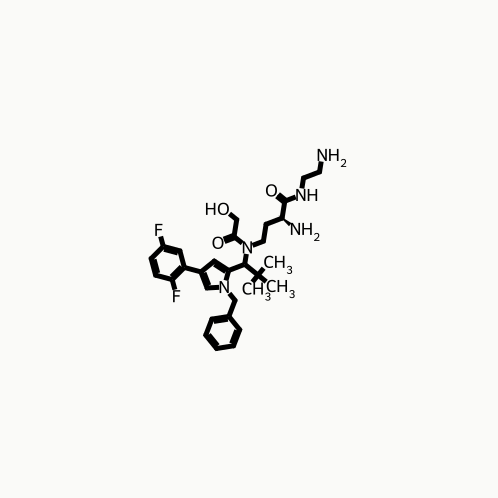 CC(C)(C)C(c1cc(-c2cc(F)ccc2F)cn1Cc1ccccc1)N(CC[C@H](N)C(=O)NCCN)C(=O)CO